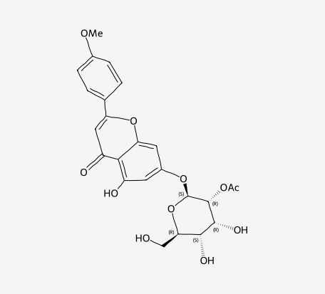 COc1ccc(-c2cc(=O)c3c(O)cc(O[C@@H]4O[C@H](CO)[C@@H](O)[C@@H](O)[C@H]4OC(C)=O)cc3o2)cc1